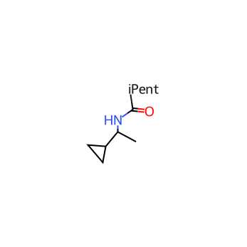 CCCC(C)C(=O)NC(C)C1CC1